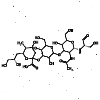 CC(=O)NC1C(OC2OC(CO)C(O)C(OC3(C(=O)O)CC(O)C(C)C(C[C@H](O)CO)O3)C2O)C(O)C(CO)O[C@@H]1N[C@H](C=O)CO